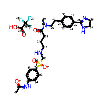 CC(=O)Nc1ccc(S(=O)(=O)CNCCCC(=O)N(C)CCc2ccc(C3=NCCN3)cc2)cc1.O=C(O)C(F)(F)F